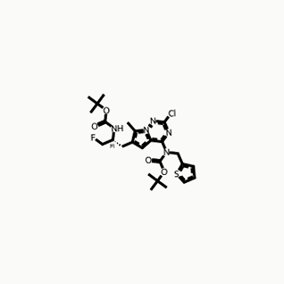 Cc1c(C[C@H](CF)NC(=O)OC(C)(C)C)cc2c(N(Cc3cccs3)C(=O)OC(C)(C)C)nc(Cl)nn12